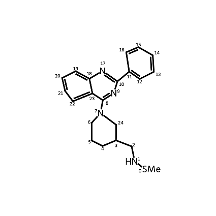 CSNCC1CCCN(c2nc(-c3ccccc3)nc3ccccc23)C1